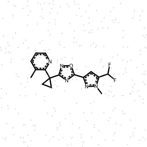 Cc1cccnc1C1(c2noc(-c3cc(C(F)F)n(C)n3)n2)CC1